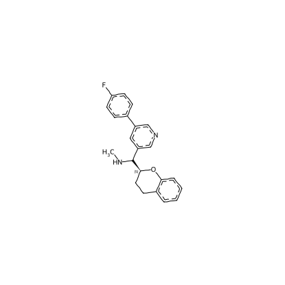 CNC(c1cncc(-c2ccc(F)cc2)c1)[C@@H]1CCc2ccccc2O1